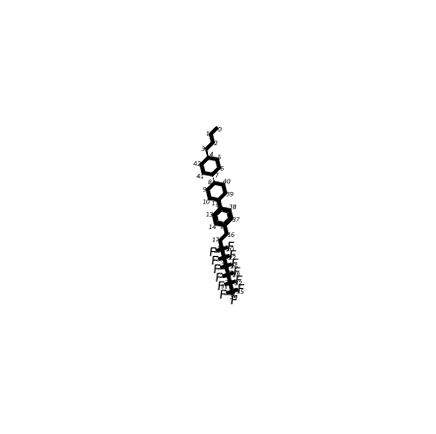 CCCC[C@H]1CC[C@H](C2CCC(c3ccc(CCC(F)(F)C(F)(F)C(F)(F)C(F)(F)C(F)(F)C(F)(F)F)cc3)CC2)CC1